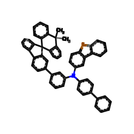 CC1(C)c2ccccc2C2(c3ccccc3-c3ccc(-c4cccc(N(c5ccc(-c6ccccc6)cc5)c5ccc6sc7ccccc7c6c5)c4)cc32)c2ccccc21